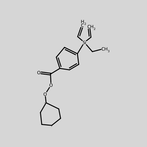 C=C[Si](C=C)(CC)c1ccc(C(=O)OO[C]2CC[CH]CC2)cc1